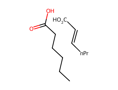 CCC/C=C/C(=O)O.CCCCCC(=O)O